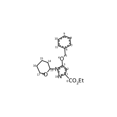 CCOC(=O)c1cc(OCc2ccccc2)n(C2CCCCO2)n1